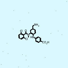 CN(C(=O)c1c(Cl)cccc1Cl)C1=C(Nc2ccc(C(=O)O)cc2)C=CC(CN)C1